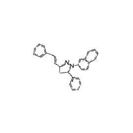 C(=Cc1ccccc1)C1=NN(c2ccc3ccccc3c2)C(c2ccccc2)C1